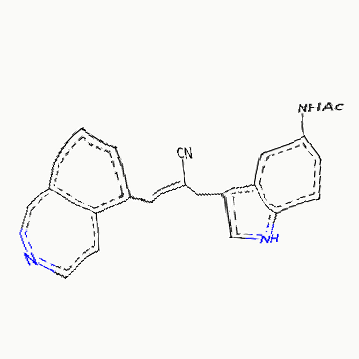 CC(=O)Nc1ccc2[nH]cc(/C(C#N)=C/c3cccc4cnccc34)c2c1